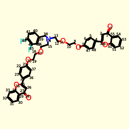 O=c1cc(-c2ccc(OCCOCCN(CCOCCOc3ccc(-c4cc(=O)c5ccccc5o4)cc3)Cc3ccc(F)c(F)c3)cc2)oc2ccccc12